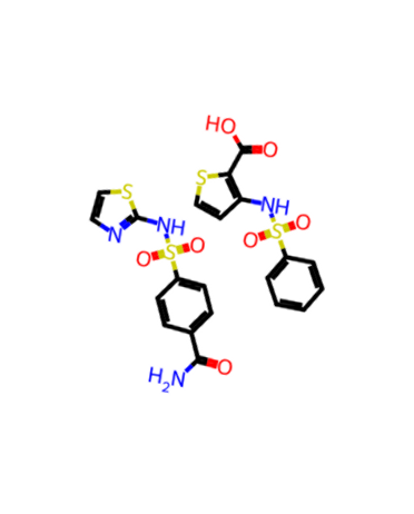 NC(=O)c1ccc(S(=O)(=O)Nc2nccs2)cc1.O=C(O)c1sccc1NS(=O)(=O)c1ccccc1